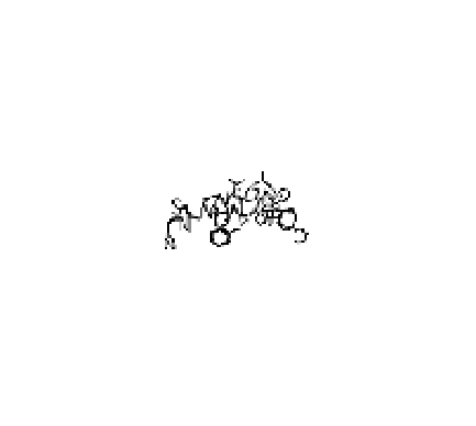 COc1ccc(S(=O)(=O)N(CC(C)C)C[C@H](O)[C@H](Cc2ccccc2)NC(=O)[C@H](C(C)C)N2CCN(Cc3csc(CC#N)n3)C2=O)cc1